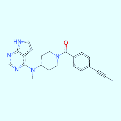 CC#Cc1ccc(C(=O)N2CCC(N(C)c3ncnc4[nH]ccc34)CC2)cc1